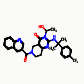 CC(O)n1c(NC(C)(C)c2ccc(C(F)(F)F)cc2)nc2c(c1=O)CN(C(=O)c1cnc3ccccc3c1)CC2